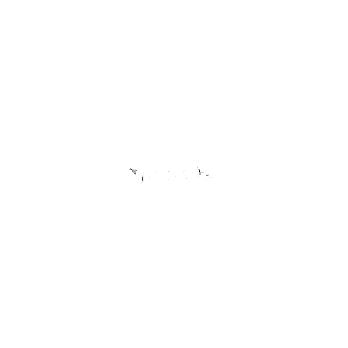 CCCCCC[C@H](C)OC(=O)c1ccc(-c2ccc(-c3ccc(C(=O)OC[C@@H](Cl)CCC)cc3)cc2)cc1